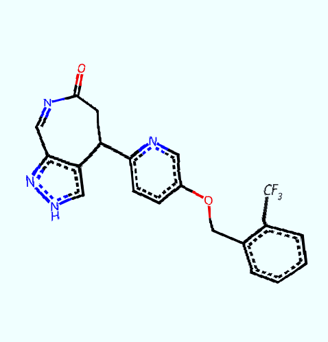 O=C1CC(c2ccc(OCc3ccccc3C(F)(F)F)cn2)c2c[nH]nc2C=N1